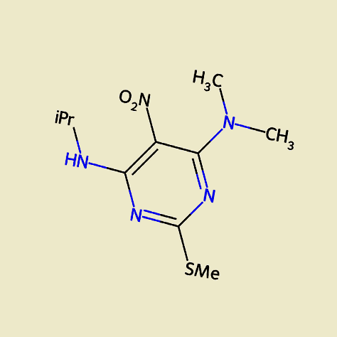 CSc1nc(NC(C)C)c([N+](=O)[O-])c(N(C)C)n1